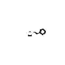 CN1C=CN(C=Cc2ccccc2)C1